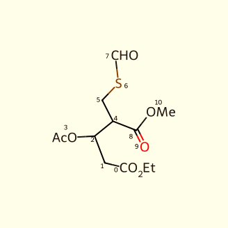 CCOC(=O)CC(OC(C)=O)C(CSC=O)C(=O)OC